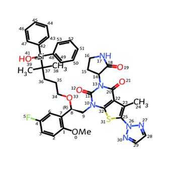 COc1ccc(F)cc1[C@H](Cn1c(=O)n(C2CCNC2=O)c(=O)c2c(C)c(-n3nccn3)sc21)OCCCC(C)(C)[Si](O)(c1ccccc1)c1ccccc1